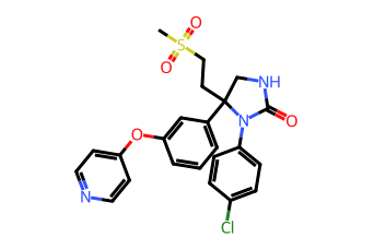 CS(=O)(=O)CCC1(c2cccc(Oc3ccncc3)c2)CNC(=O)N1c1ccc(Cl)cc1